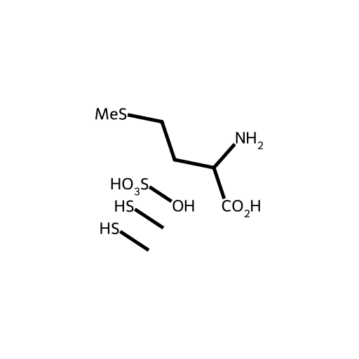 CS.CS.CSCCC(N)C(=O)O.O=S(=O)(O)O